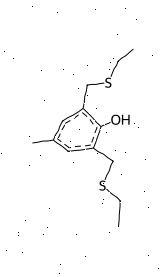 CCSCc1cc(C)cc(CSCC)c1O